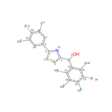 OC(c1csc(-c2cc(F)c(F)c(F)c2)n1)c1c(F)c(F)c(F)c(F)c1F